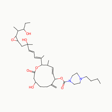 C=C1CCC(O)CC(=O)OC(/C(C)=C/C=C/C(C)(O)CC2OC2C(C)C(O)CC)C(C)/C=C/C1OC(=O)N1CCN(CCCC)CC1